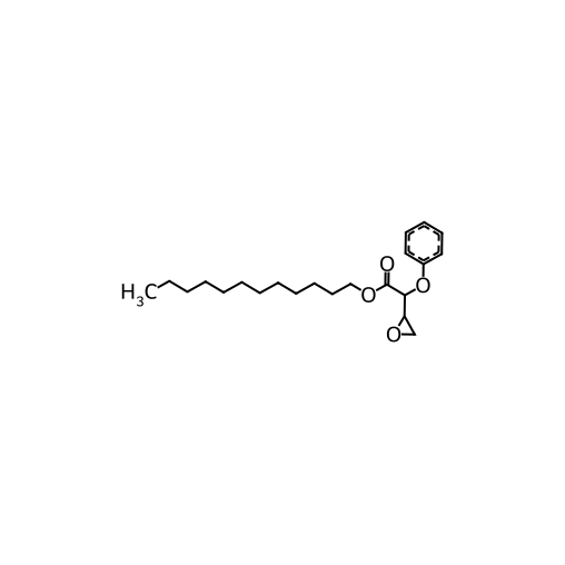 CCCCCCCCCCCCOC(=O)C(Oc1ccccc1)C1CO1